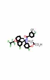 CC(Oc1cc([C@@](Cc2ccccc2)(NC(=O)c2ccc(F)c(C(F)(F)F)c2)c2cc(F)cc(OC(F)(F)C(F)F)c2)ccc1F)C(=O)O